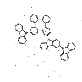 c1ccc2c(c1)-c1ccccc1-c1cc(-n3c4ccccc4c4ccccc43)ccc1-c1cc(-n3c4ccccc4c4cc(-n5c6ccccc6c6ccccc65)ccc43)ccc1-2